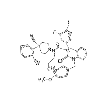 CCCN(C(=O)N1C(=O)N(Cc2ccc(OC)cc2)c2ccccc2C1c1ccc(F)c(F)c1)N1CCC(C#N)(c2ccccc2C#N)CC1